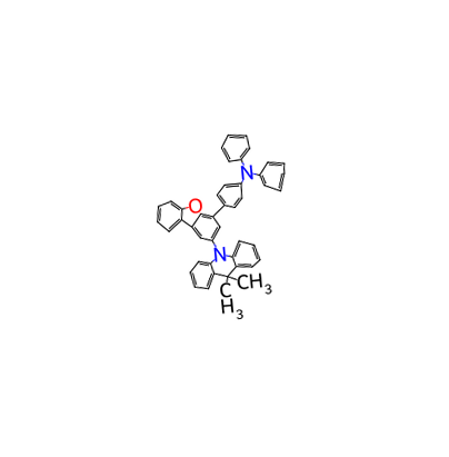 CC1(C)c2ccccc2N(c2cc(-c3ccc(N(c4ccccc4)c4ccccc4)cc3)c3oc4ccccc4c3c2)c2ccccc21